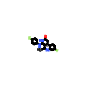 CC(=N)C1=C(Nc2ccc(F)cc2)NC(=O)C[C@H]1c1ccc(F)cc1